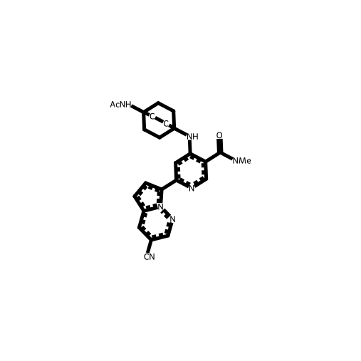 CNC(=O)c1cnc(-c2ccc3cc(C#N)cnn23)cc1NC12CCC(NC(C)=O)(CC1)CC2